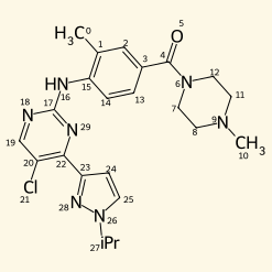 Cc1cc(C(=O)N2CCN(C)CC2)ccc1Nc1ncc(Cl)c(-c2ccn(C(C)C)n2)n1